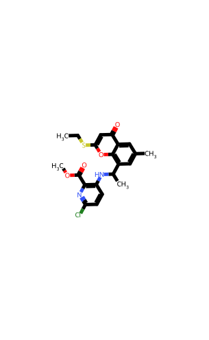 CCSc1cc(=O)c2cc(C)cc(C(C)Nc3ccc(Cl)nc3C(=O)OC)c2o1